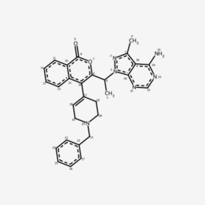 Cc1nn(C(C)c2oc(=O)c3ccccc3c2C2=CCN(Cc3ccccc3)CC2)c2ncnc(N)c12